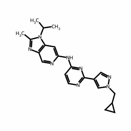 Cc1nc2cnc(Nc3ccnc(-c4cnn(CC5CC5)c4)n3)cc2n1C(C)C